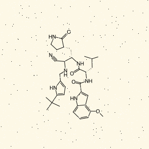 COc1cccc2[nH]c(C(=O)N[C@@H](CC(C)C)C(=O)N[C@@H](C[C@@H]3CCNC3=O)C(C#N)NCc3ccc(C(C)(C)C)[nH]3)cc12